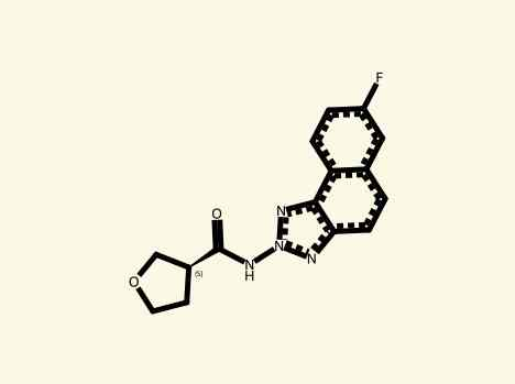 O=C(Nn1nc2ccc3cc(F)ccc3c2n1)[C@H]1CCOC1